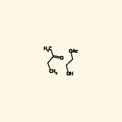 CC(=O)OCCO.CCC(C)=O